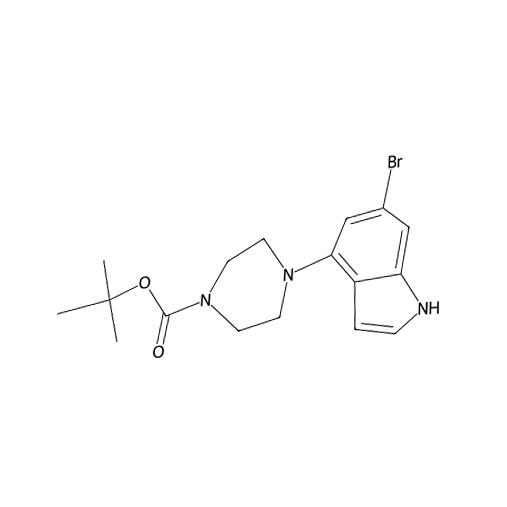 CC(C)(C)OC(=O)N1CCN(c2cc(Br)cc3[nH]ccc23)CC1